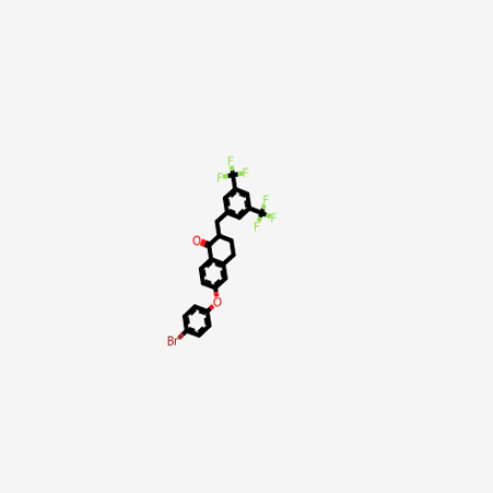 O=C1c2ccc(Oc3ccc(Br)cc3)cc2CCC1Cc1cc(C(F)(F)F)cc(C(F)(F)F)c1